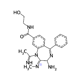 C/N=C1/C(N)N=C(c2ccccc2)c2ccc(C(=O)NCCO)cc2N1C(C)=N